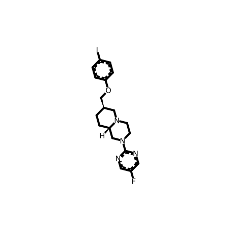 Fc1cnc(N2CCN3C[C@H](COc4ccc(I)cc4)CC[C@H]3C2)nc1